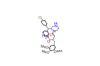 COc1cc(CC(CC(=O)N2CCNCC2C(c2ccccc2)c2ccc(Cl)cc2)C(N)=O)cc(OC)c1OC